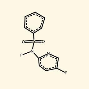 O=S(=O)(c1ccccc1)N(F)c1ccc(F)cn1